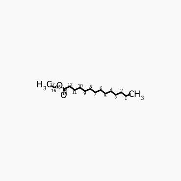 CCCCCCCCCCCCCC(=O)OCC